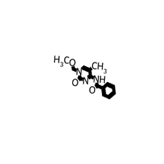 COCn1cc(C)c(NC(=O)c2ccccc2)nc1=O